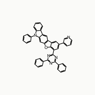 c1ccc(-c2nc(-c3ccccc3)nc(-c3cc(-c4cccnc4)cc4c3oc3cc5c(cc34)c3ccccc3n5-c3ccccc3)n2)cc1